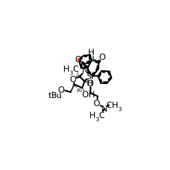 CN(C)OCCO[C@]1([SiH](c2ccccc2)c2ccccc2)[C@H](O)[C@@H](COC(C)(C)C)O[C@@]1(C)n1ccc(=O)[nH]c1=O